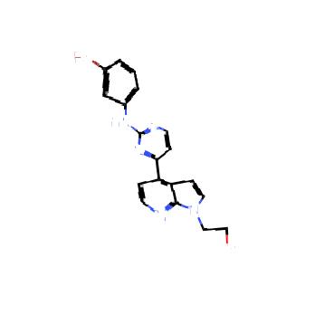 OCCn1ccc2c(-c3ccnc(Nc4cccc(Br)c4)n3)ccnc21